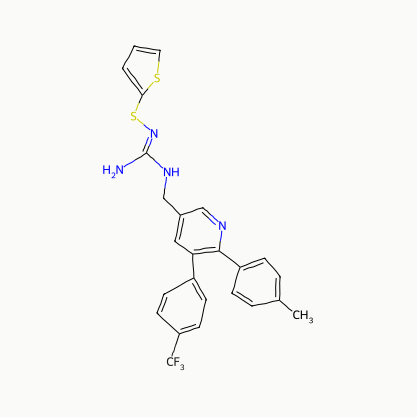 Cc1ccc(-c2ncc(CN/C(N)=N/Sc3cccs3)cc2-c2ccc(C(F)(F)F)cc2)cc1